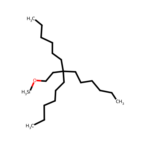 CCCCCCC(CCCCCC)(CCCCCC)CCO[SiH3]